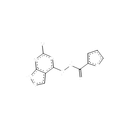 Nc1nc(NNC(=O)c2ccco2)c2cn[nH]c2n1